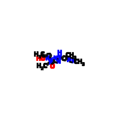 C=CCn1c(=O)c2cnc(Nc3ccc(N4CCN(C)CC4)c(C)c3)nc2n1-c1cccc([C@H](C)O)n1